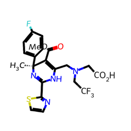 COC(=O)C1=C(CN(CC(=O)O)CC(F)(F)F)NC(c2nccs2)=N[C@@]1(C)c1ccc(F)cc1